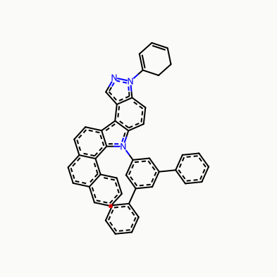 C1=CCCC(n2ncc3c4c5ccc6ccc7ccccc7c6c5n(-c5cc(-c6ccccc6)cc(-c6ccccc6)c5)c4ccc32)=C1